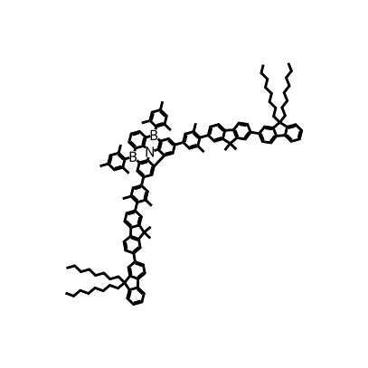 CCCCCCCCC1(CCCCCCCC)c2ccccc2-c2ccc(-c3ccc4c(c3)C(C)(C)c3cc(-c5c(C)cc(-c6cc7c8c(c6)c6cc(-c9cc(C)c(-c%10ccc%11c(c%10)C(C)(C)c%10cc(-c%12ccc%13c(c%12)C(CCCCCCCC)(CCCCCCCC)c%12ccccc%12-%13)ccc%10-%11)c(C)c9)cc9c6n8-c6c(cccc6B9c6c(C)cc(C)cc6C)B7c6c(C)cc(C)cc6C)cc5C)ccc3-4)cc21